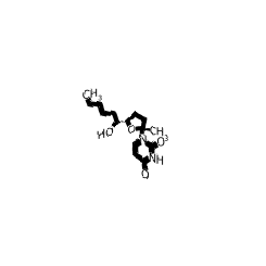 CCCCCC(O)[C@@H]1C=C[C@](C)(n2ccc(=O)[nH]c2=O)O1